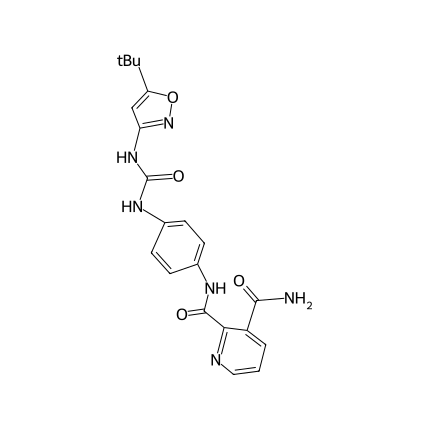 CC(C)(C)c1cc(NC(=O)Nc2ccc(NC(=O)c3ncccc3C(N)=O)cc2)no1